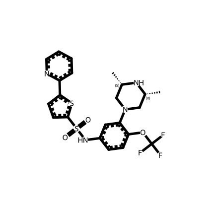 C[C@@H]1CN(c2cc(NS(=O)(=O)c3ccc(-c4ccccn4)s3)ccc2OC(F)(F)F)C[C@H](C)N1